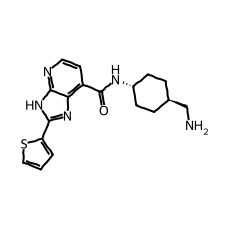 NC[C@H]1CC[C@H](NC(=O)c2ccnc3[nH]c(-c4cccs4)nc23)CC1